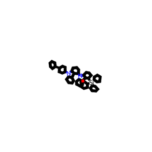 c1ccc(-c2ccc(-n3c4ccccc4c4c(-n5c6ccccc6c6c([Si](c7ccccc7)(c7ccccc7)c7ccccc7)cccc65)cccc43)cc2)cc1